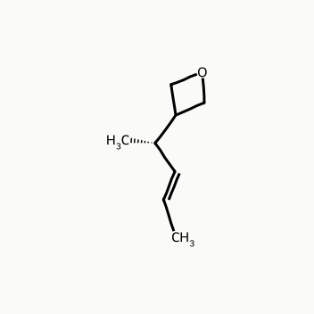 C/C=C/[C@H](C)C1COC1